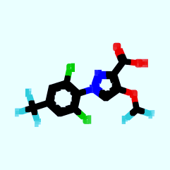 O=C(O)c1nn(-c2c(Cl)cc(C(F)(F)F)cc2Cl)cc1OC(F)F